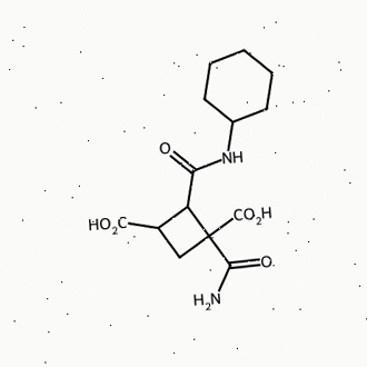 NC(=O)C1(C(=O)O)CC(C(=O)O)C1C(=O)NC1CCCCC1